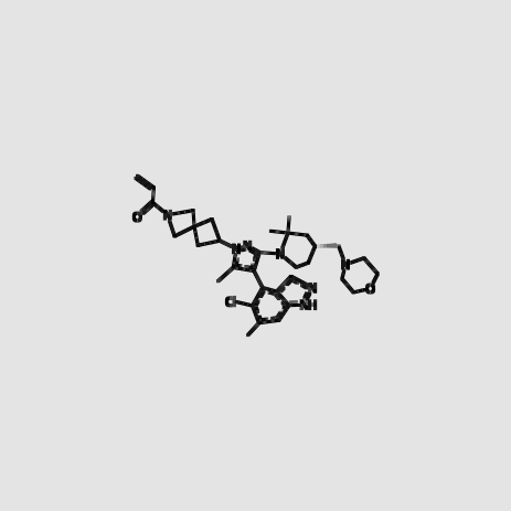 C=CC(=O)N1CC2(CC(n3nc(N4CC[C@@H](CN5CCOCC5)CC4(C)C)c(-c4c(Cl)c(C)cc5[nH]ncc45)c3C)C2)C1